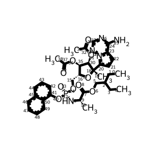 CCC(CC)COC(=O)[C@H](C)NP(=O)(OC[C@H]1O[C@@](C)(c2ccc3c(N)ncnn23)[C@H](OC(C)=O)[C@@H]1OC(C)=O)Oc1cccc2ccccc12